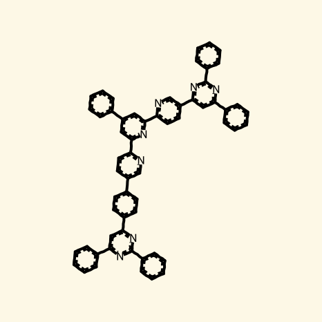 c1ccc(-c2cc(-c3ccc(-c4ccc(-c5cc(-c6ccccc6)nc(-c6ccccc6)n5)cc4)cn3)nc(-c3ccc(-c4cc(-c5ccccc5)nc(-c5ccccc5)n4)cn3)c2)cc1